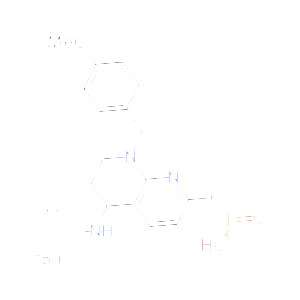 COc1ccc(CN2CCC(N[S+]([O-])C(C)(C)C)c3ccc(O[PH](=O)O)nc32)cc1